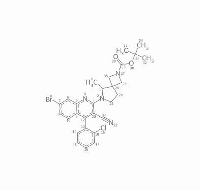 CC1N(c2nc3cc(Br)ccc3c(-c3ccccc3Cl)c2C#N)CCC12CN(C(=O)OC(C)(C)C)C2